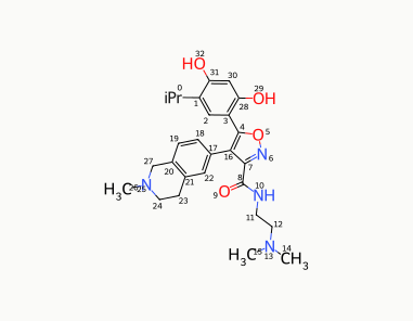 CC(C)c1cc(-c2onc(C(=O)NCCN(C)C)c2-c2ccc3c(c2)CCN(C)C3)c(O)cc1O